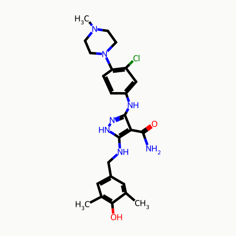 Cc1cc(CNc2[nH]nc(Nc3ccc(N4CCN(C)CC4)c(Cl)c3)c2C(N)=O)cc(C)c1O